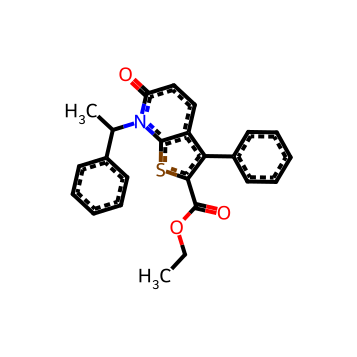 CCOC(=O)c1sc2c(ccc(=O)n2C(C)c2ccccc2)c1-c1ccccc1